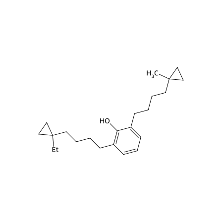 CCC1(CCCCc2cccc(CCCCC3(C)CC3)c2O)CC1